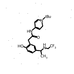 CC(NCC(F)(F)F)c1ccc(O)c(CC(=O)NC2=CCN(C(C)(C)C)C=C2)c1